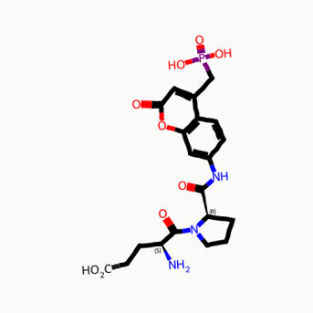 N[C@@H](CCC(=O)O)C(=O)N1CCC[C@@H]1C(=O)Nc1ccc2c(CP(=O)(O)O)cc(=O)oc2c1